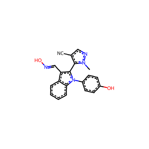 Cn1ncc(C#N)c1-c1c(C=NO)c2ccccc2n1-c1ccc(O)cc1